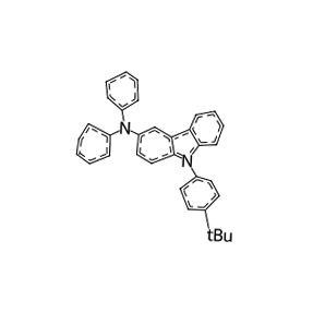 CC(C)(C)c1ccc(-n2c3ccccc3c3cc(N(c4ccccc4)c4ccccc4)ccc32)cc1